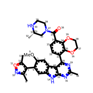 COc1cc2c(cc1-c1c(C)noc1C)[nH]c1nc(C)nc(-c3ccc(C(=O)N4CCN[C@@H](C)C4)c4c3OCCO4)c12